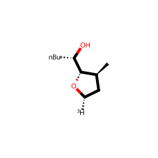 [3H][C@H]1C[C@H](C)[C@@H]([C@@H](O)CCCC)O1